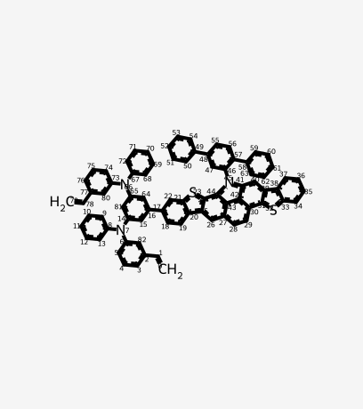 C=Cc1cccc(N(c2ccccc2)c2cc(-c3ccc4c(c3)sc3c4cc4ccc5c6sc7ccccc7c6cc6c5c4c3n6-c3cc(-c4ccccc4)ccc3-c3ccccc3)cc(N(c3ccccc3)c3cccc(C=C)c3)c2)c1